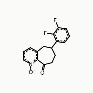 O=C1CCC(c2cccc(F)c2F)Cc2ccc[n+]([O-])c21